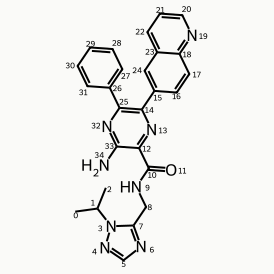 CC(C)n1ncnc1CNC(=O)c1nc(-c2ccc3ncccc3c2)c(-c2ccccc2)nc1N